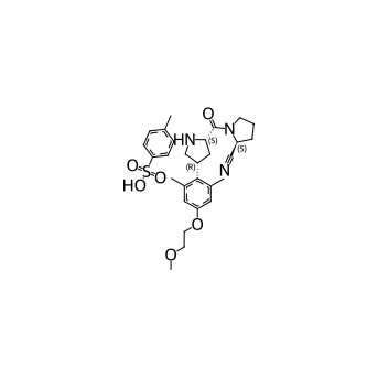 COCCOc1cc(C)c([C@@H]2CN[C@H](C(=O)N3CCC[C@H]3C#N)C2)c(C)c1.Cc1ccc(S(=O)(=O)O)cc1